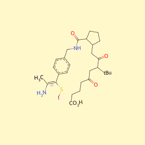 C/C(N)=C(/SI)c1ccc(CNC(=O)C2CCCC2CC(=O)C(CC(=O)CCCC(=O)O)C(C)(C)C)cc1